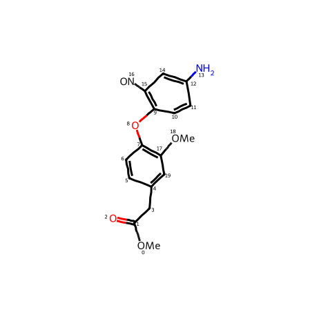 COC(=O)Cc1ccc(Oc2ccc(N)cc2N=O)c(OC)c1